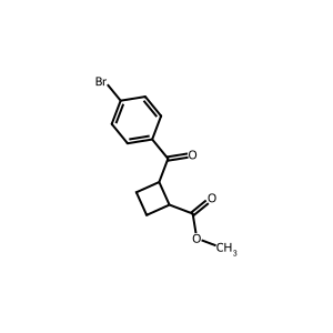 COC(=O)C1CCC1C(=O)c1ccc(Br)cc1